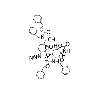 C[C@H]([C@@H]1CC[C@@H](N=[N+]=[N-])C(O[C@H]2[C@H](O)[C@H]3OC(=O)N[C@@H]3[C@@H](OCc3ccccc3)[C@@H]2NC(=O)OCc2ccccc2)O1)N(Cc1ccccc1)C(=O)OCc1ccccc1